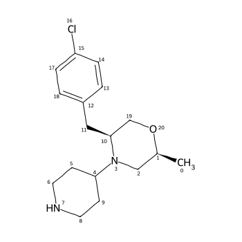 C[C@H]1CN(C2CCNCC2)[C@@H](Cc2ccc(Cl)cc2)CO1